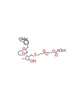 CCCCCCCCC(=O)OCCOC(=O)CCCSCC[C@@H]1[C@@H](/C=C/[C@H](Cc2cccc(COC)c2)OC2CCCCO2)[C@H](C)C[C@@H]1O